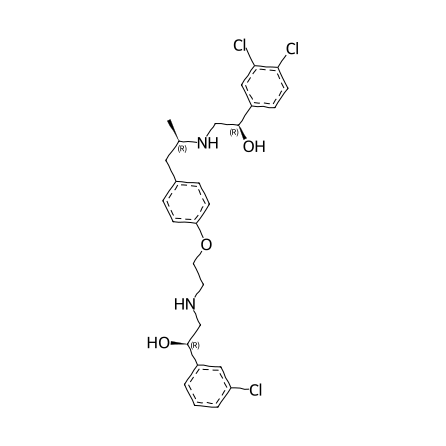 C[C@H](Cc1ccc(OCCNC[C@H](O)c2cccc(Cl)c2)cc1)NC[C@H](O)c1ccc(Cl)c(Cl)c1